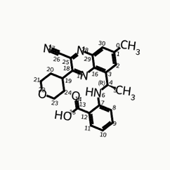 Cc1cc([C@@H](C)Nc2ccccc2C(=O)O)c2nc(C3CCOCC3)c(C#N)nc2c1